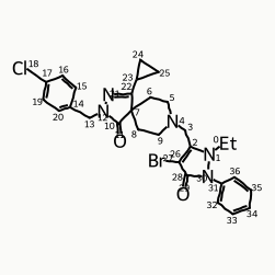 CCn1c(CN2CCC3(CC2)C(=O)N(Cc2ccc(Cl)cc2)N=C3C2CC2)c(Br)c(=O)n1-c1ccccc1